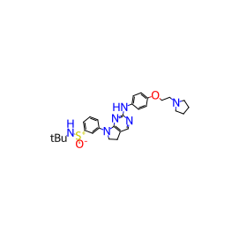 CC(C)(C)N[S+]([O-])c1cccc(N2CCc3cnc(Nc4ccc(OCCN5CCCC5)cc4)nc32)c1